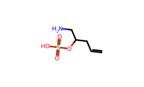 C=CCC(CN)OS(=O)(=O)O